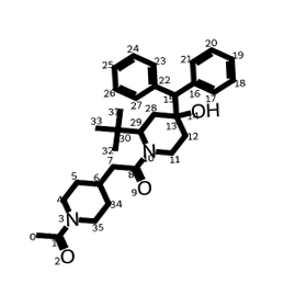 CC(=O)N1CCC(CC(=O)N2CCC(O)(C(c3ccccc3)c3ccccc3)CC2C(C)(C)C)CC1